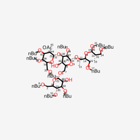 CCCCOCC1O[C@H](OCC2O[C@@H](O[C@@H](C)C(COCCCC)O[C@@H](OCCCC)[C@@H](C)COCCCC)[C@H](OCCCC)C(O[C@@H]3OC(COCCCC)[C@H](OCCCC)C(OCCCC)[C@@H]3OC(C)=O)[C@@H]2O)[C@H](O)C(OCCCC)[C@@H]1OCCCC